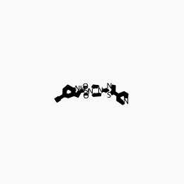 C#Cc1ccc2[nH]c(S(=O)(=O)N3CCN(c4ncc(-c5ccncc5)s4)CC3)cc2c1